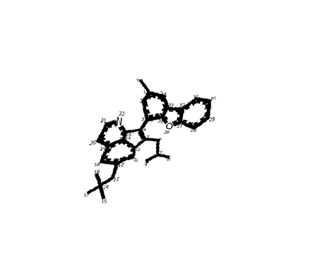 Cc1cc(C2=C(CC(C)C)c3cc(CC(C)(C)C)cc4ccnc2c34)c2oc3ccccc3c2c1